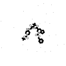 CC(C)(C)OC(=O)N1CCC(NCC(=O)C(NC(=O)C(CNC(=O)OCc2ccccc2)CC2CCCC2)C(C)(C)C)CC1